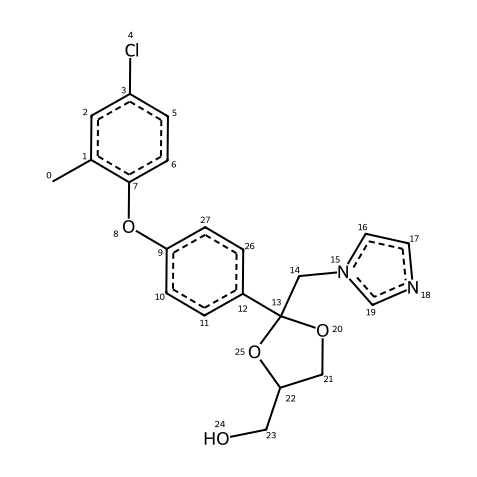 Cc1cc(Cl)ccc1Oc1ccc(C2(Cn3ccnc3)OCC(CO)O2)cc1